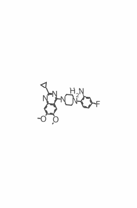 COc1cc2nc(C3CC3)nc(N3CCN(c4ccc(F)cc4N)CC3)c2cc1OC